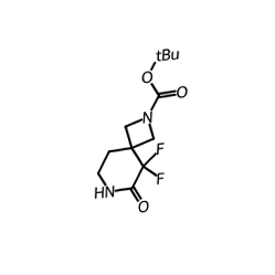 CC(C)(C)OC(=O)N1CC2(CCNC(=O)C2(F)F)C1